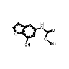 CC(C)(C)OC(=O)Nc1cc(O)c2occc2c1